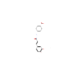 COc1ccc(C=CC(=O)NC[C@H]2CC[C@H](C(=O)O)CC2)cc1OC